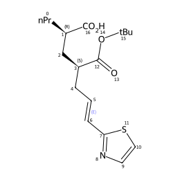 CCC[C@H](C[C@H](C/C=C/c1nccs1)C(=O)OC(C)(C)C)C(=O)O